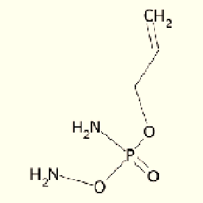 C=CCOP(N)(=O)ON